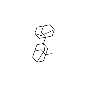 CC12CC3CC(C1)CC(C14CC5CC(CC(C5)C1)C4)(C3)C2